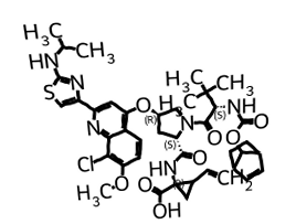 C=CC1C[C@]1(NC(=O)[C@@H]1C[C@@H](Oc2cc(-c3csc(NC(C)C)n3)nc3c(Cl)c(OC)ccc23)CN1C(=O)[C@@H](NC(=O)OC1C2C=CC1CC2)C(C)(C)C)C(=O)O